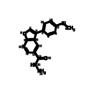 CSc1ccc(-c2coc3ncc(C(=O)NN)cc23)cc1